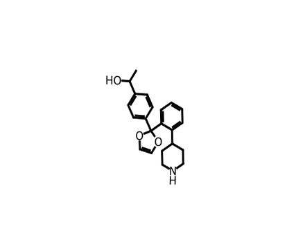 CC(O)c1ccc(C2(c3ccccc3C3CCNCC3)OC=CO2)cc1